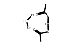 CC(=O)[O][Cu][O]C(C)=O.OBO